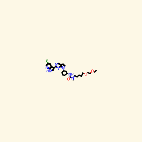 CCOCCOCCCCCN(C)C(=O)N[C@@H]1CCC[C@H](n2ccc3cnc(-c4c[nH]c5ncc(F)cc45)nc32)C1